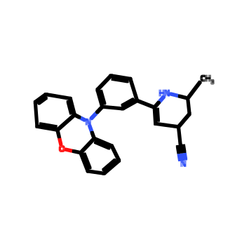 CC1CC(C#N)C=C(c2cccc(N3c4ccccc4Oc4ccccc43)c2)N1